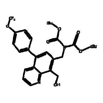 CC(C)(C)OC(=O)N(Cc1cc(-c2ccc(OC(F)(F)F)cc2)c2cccnc2c1CO)C(=O)OC(C)(C)C